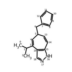 CC(C)C1=CC(Cc2ccccc2)C=Cc2[nH]ncc21